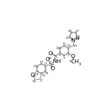 COc1cc(C(=O)NS(=O)(=O)c2ccc3c(c2)CCO3)ccc1Cn1cccn1